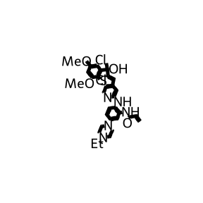 C=CC(=O)Nc1cc(N2CCN(CC)CC2)ccc1Nc1cc2cc(C(C)(O)c3c(Cl)c(OC)cc(OC)c3Cl)sc2cn1